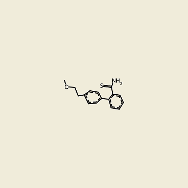 COCCc1ccc(-c2ccccc2C(N)=S)cc1